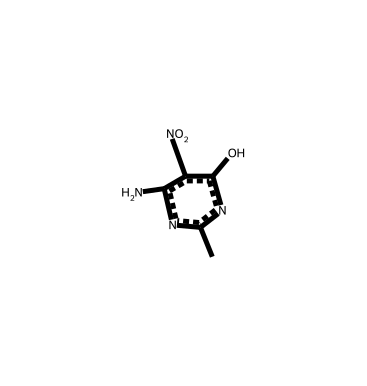 Cc1nc(N)c([N+](=O)[O-])c(O)n1